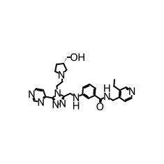 CCc1cnccc1CNC(=O)c1cccc(NCc2nnc(-c3ccncn3)n2CCN2CC[C@H](CO)C2)c1